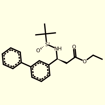 CCOC(=O)C[C@H](N[S@+]([O-])C(C)(C)C)c1cccc(-c2ccccc2)c1